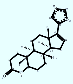 C[C@]12CCC(=O)OC1CC[C@@H]1[C@@H]2CC[C@]2(C)C(c3cnco3)=CC[C@@H]12